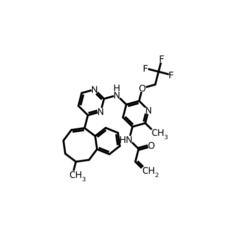 C=CC(=O)Nc1cc(Nc2nccc(/C3=C/CCC(C)Cc4ccccc43)n2)c(OCC(F)(F)F)nc1C